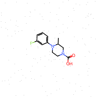 CC1CN(C(=O)O)CCN1c1cccc(F)c1